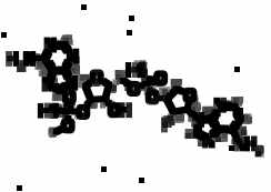 COP(=O)(S)O[C@@H]1[C@H](O)[C@@H](COP(=O)(S)O[C@@H]2CO[C@@H](n3cnc4c(N)ccnc43)[C@@H]2F)O[C@H]1n1cnc2c(N)ncnc21